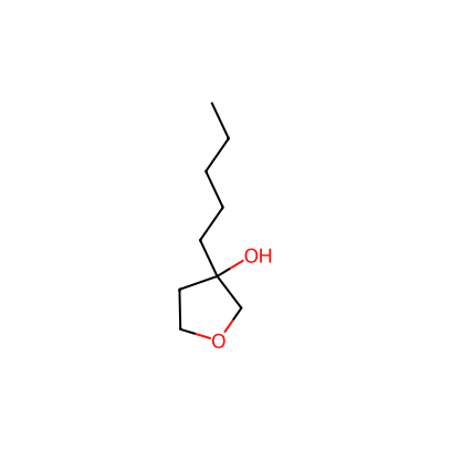 CCCCCC1(O)CCOC1